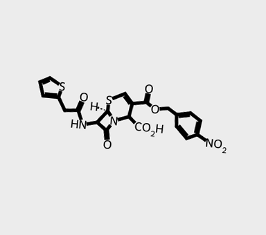 O=C(Cc1cccs1)NC1C(=O)N2C(C(=O)O)C(C(=O)OCc3ccc([N+](=O)[O-])cc3)=CS[C@H]12